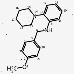 COc1ccc(CNc2ccccc2N2CCCCC2)cc1